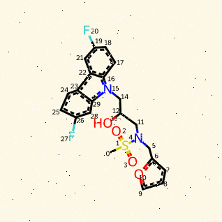 CS(=O)(=O)N(Cc1ccco1)CC(O)Cn1c2ccc(F)cc2c2ccc(F)cc21